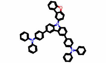 c1ccc(N(c2ccccc2)c2ccc(-c3ccc4c(c3)c3cc(-c5ccc(N(c6ccccc6)c6ccccc6)cc5)ccc3n4-c3ccc4oc5ccccc5c4c3)cc2)cc1